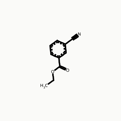 CCOC(=O)c1cc[c]c(C#N)c1